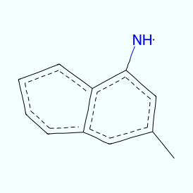 Cc1cc([NH])c2ccccc2c1